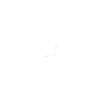 [2H]C1([2H])CCC([2H])([2H])C1N